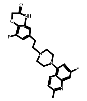 Cc1ccc2c(N3CCN(CCc4cc(F)c5c(c4)NC(=O)CO5)CC3)cc(F)cc2n1